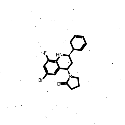 O=C1CCCN1[C@@H]1C[C@H](C2C=CC=CC2)Nc2c(F)cc(Br)cc21